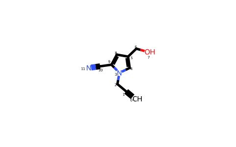 C#CCn1cc(CO)cc1C#N